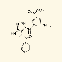 COC(=O)c1cc(N)cc(Nc2ncnc3[nH]cc(C(=O)c4ccccc4)c23)c1